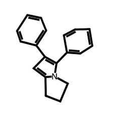 c1ccc(-c2cc3n(c2-c2ccccc2)CCC3)cc1